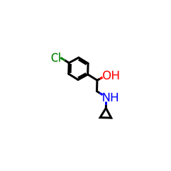 OC(CNC1CC1)c1ccc(Cl)cc1